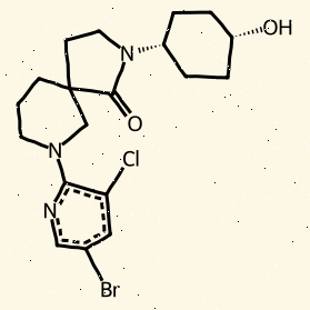 O=C1N([C@H]2CC[C@@H](O)CC2)CCC12CCCN(c1ncc(Br)cc1Cl)C2